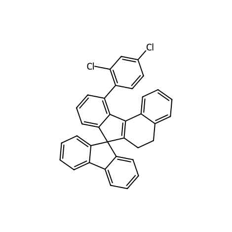 Clc1ccc(-c2cccc3c2C2=C(CCc4ccccc42)C32c3ccccc3-c3ccccc32)c(Cl)c1